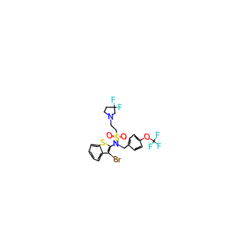 O=S(=O)(CCN1CCC(F)(F)C1)N(Cc1ccc(OC(F)(F)F)cc1)c1sc2ccccc2c1Br